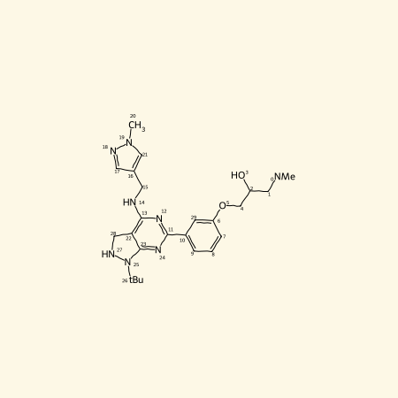 CNCC(O)COc1cccc(-c2nc(NCc3cnn(C)c3)c3c(n2)N(C(C)(C)C)NC3)c1